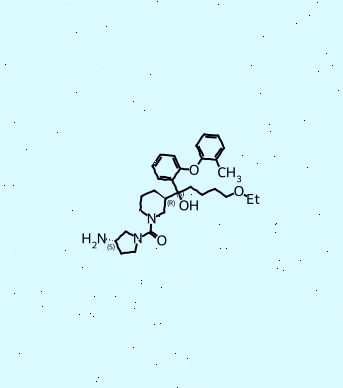 CCOCCCC[C@@](O)(c1ccccc1Oc1ccccc1C)[C@@H]1CCCN(C(=O)N2CC[C@H](N)C2)C1